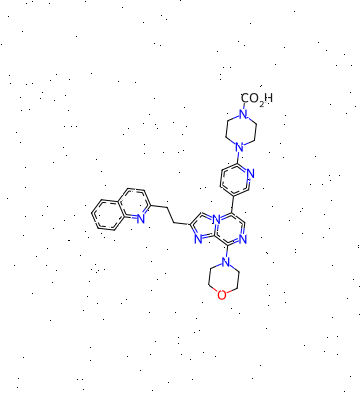 O=C(O)N1CCN(c2ccc(-c3cnc(N4CCOCC4)c4nc(CCc5ccc6ccccc6n5)cn34)cn2)CC1